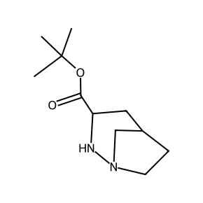 CC(C)(C)OC(=O)C1CC2CCN(C2)N1